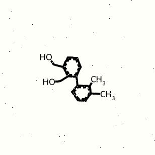 Cc1cccc(-c2cccc(CO)c2CO)c1C